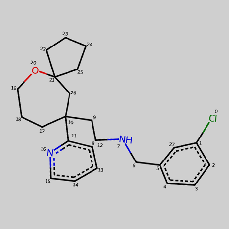 Clc1cccc(CNCCC2(c3ccccn3)CCCOC3(CCCC3)C2)c1